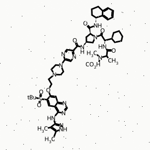 Cc1[nH]nc(Nc2ncnc3cc(OCCN4CCN(c5cnc(C(=O)N[C@H]6C[C@@H](C(=O)N[C@@H]7CCCc8ccccc87)N(C(=O)[C@@H](NC(=O)C(C)N(C)C(=O)O)C7CCCCC7)C6)cn5)CC4)c(S(=O)(=O)C(C)(C)C)cc23)c1C